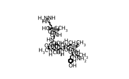 CSCC[C@H](NC(=O)[C@H](Cc1ccc(O)cc1)NC(=O)[C@H](C)N)C(=O)N[C@@H](C)C(=O)N[C@@H](C)C(=O)N[C@@H](CC(=O)O)C(=O)N[C@@H](C)C(=O)N[C@@H](C)C(=O)NCC(=O)NCC(=O)N[C@@H](CC(C)C)C(=O)N[C@@H](CCCNC(=N)N)C(=O)O